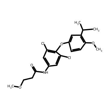 COCCC(=O)Nc1cc(Cl)c(Oc2ccc(OC)c(C(C)C)c2)c(Cl)c1